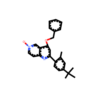 Cc1cc(C(C)(C)C)ccc1-c1cc(OCc2ccccc2)c2c[n+]([O-])ccc2n1